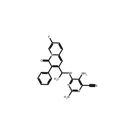 CC(Nc1nc(N)nc(C#N)c1N)c1cc2ccc(F)cn2c(=O)c1-c1ccccc1